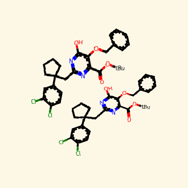 CC(C)(C)OC(=O)c1nc(CC2(c3ccc(Cl)c(Cl)c3)CCCC2)nc(O)c1OCc1ccccc1.CC(C)(C)OC(=O)c1nc(CC2(c3ccc(Cl)c(Cl)c3)CCCC2)nc(O)c1OCc1ccccc1